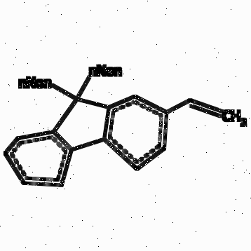 C=Cc1ccc2c(c1)C(CCCCCCCCC)(CCCCCCCCC)c1ccccc1-2